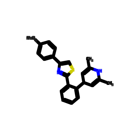 COc1ccc(-c2csc(-c3ccccc3C3C=C(C)NC(C)=C3)n2)cc1